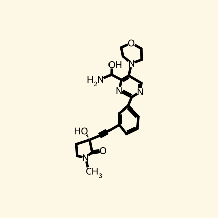 CN1CC[C@@](O)(C#Cc2cccc(-c3ncc(N4CCOCC4)c(C(N)O)n3)c2)C1=O